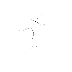 COCCC(N)C(C)(C)C=O